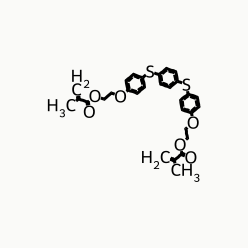 C=C(C)C(=O)OCCOc1ccc(Sc2ccc(Sc3ccc(OCCOC(=O)C(=C)C)cc3)cc2)cc1